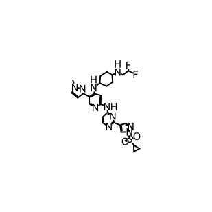 Cn1ccc(-c2cnc(Nc3ccnc(-c4cnn(S(=O)(=O)C5CC5)c4)n3)cc2NC2CCC(NCC(F)F)CC2)n1